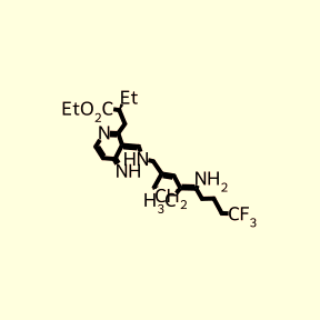 C=C/C(=C\C(C)=C(/N)CCCC(F)(F)F)CN/C=C1\C(=N)C=CN=C1C[C@H](CC)C(=O)OCC